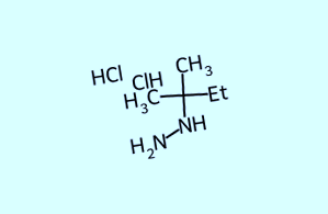 CCC(C)(C)NN.Cl.Cl